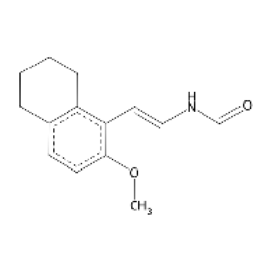 COc1ccc2c(c1C=CNC=O)CCCC2